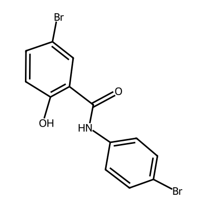 O=C(Nc1ccc(Br)cc1)c1cc(Br)ccc1O